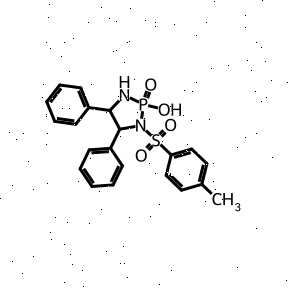 Cc1ccc(S(=O)(=O)N2C(c3ccccc3)C(c3ccccc3)NP2(=O)O)cc1